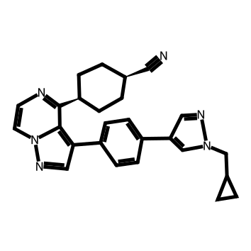 N#C[C@H]1CC[C@@H](c2nccn3ncc(-c4ccc(-c5cnn(CC6CC6)c5)cc4)c23)CC1